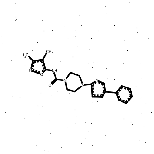 Cc1noc(NC(=O)N2CCN(c3ccc(-c4ccccc4)cn3)CC2)c1C